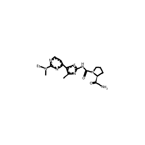 CCN(C)c1nccc(-c2sc(NC(=O)N3CCC[C@H]3C(N)=O)nc2C)n1